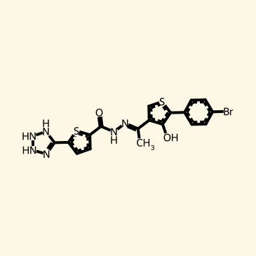 C/C(=N\NC(=O)c1ccc(C2=NNNN2)s1)c1csc(-c2ccc(Br)cc2)c1O